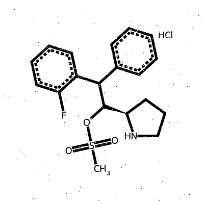 CS(=O)(=O)OC(C(c1ccccc1)c1ccccc1F)[C@H]1CCCN1.Cl